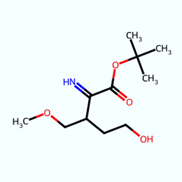 COCC(CCO)C(=N)C(=O)OC(C)(C)C